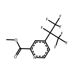 COC(=O)c1cc(C(F)(C(F)(F)F)C(F)(F)F)ccn1